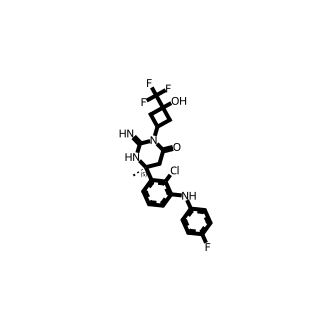 C[C@@]1(c2cccc(Nc3ccc(F)cc3)c2Cl)CC(=O)N(C2CC(O)(C(F)(F)F)C2)C(=N)N1